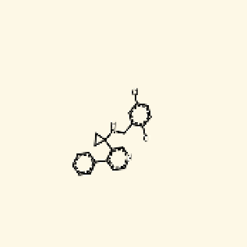 Clc1ccc(Cl)c(CNC2(c3cnccc3-c3ccccc3)CC2)c1